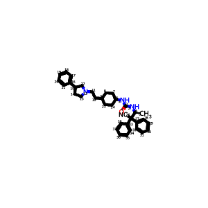 C[C@H](NC(=O)NC1CCC(CCN2CCC(c3ccccc3)C2)CC1)C(C#N)(c1ccccc1)c1ccccc1